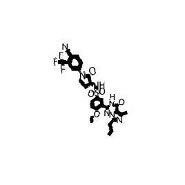 CCCc1nc(C)c2c(=O)[nH]c(-c3cc(S(=O)(=O)NC4CCN(c5ccc(C#N)c(C(F)(F)F)c5)C4=O)ccc3OCC)nn12